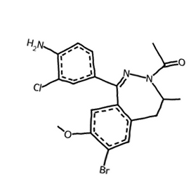 COc1cc2c(cc1Br)CC(C)N(C(C)=O)N=C2c1ccc(N)c(Cl)c1